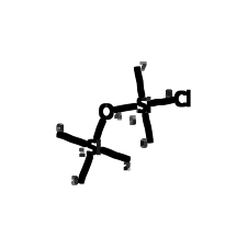 C[Si](C)(C)O[Si](C)(C)Cl